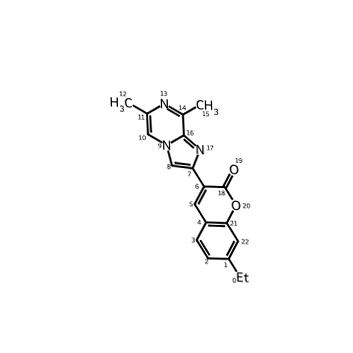 CCc1ccc2cc(-c3cn4cc(C)nc(C)c4n3)c(=O)oc2c1